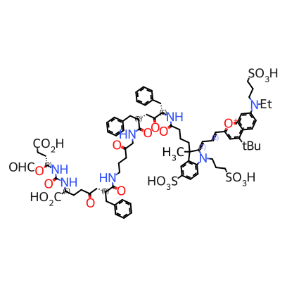 CCN(CCCS(=O)(=O)O)c1ccc2c(C(C)(C)C)cc(/C=C/C=C3\N(CCCS(=O)(=O)O)c4ccc(S(=O)(=O)O)cc4C3(C)CCCC(=O)N[C@@H](Cc3ccccc3)C(=O)C[C@@H](Cc3ccccc3)C(=O)NCC(=O)CCCNC(=O)[C@@H](CC(=O)CC[C@H](NC(=O)N[C@@H](CCC(=O)O)OC=O)C(=O)O)Cc3ccccc3)[o+]c2c1